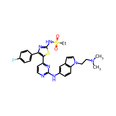 CCS(=O)(=O)Nc1nc(-c2ccc(F)cc2)c(-c2ccnc(Nc3ccc4c(ccn4CCN(C)C)c3)n2)s1